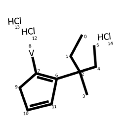 CCC(C)(CC)C1=[C]([V])CC=C1.Cl.Cl.Cl